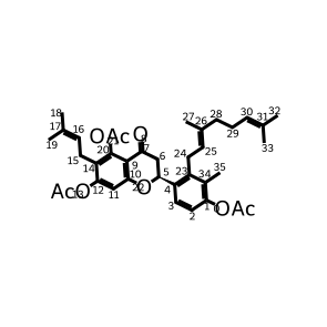 CC(=O)Oc1ccc([C@@H]2CC(=O)c3c(cc(OC(C)=O)c(CC=C(C)C)c3OC(C)=O)O2)c(C/C=C(\C)CCC=C(C)C)c1C